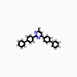 Cc1cc(-c2ccc(-c3ccccc3)cc2)nc(-c2ccc(-c3ccccc3)cc2)n1